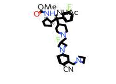 COC(=O)N[C@H]1CCC[C@@H]1[C@](CNC(C)=O)(c1cccc(F)c1)C1CCN(CC2(F)CN(c3ccc(C#N)c(CN4CCC4)c3)C2)CC1